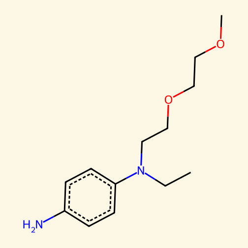 CCN(CCOCCOC)c1ccc(N)cc1